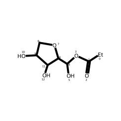 CCC(=O)OC(O)C1OCC(O)C1O